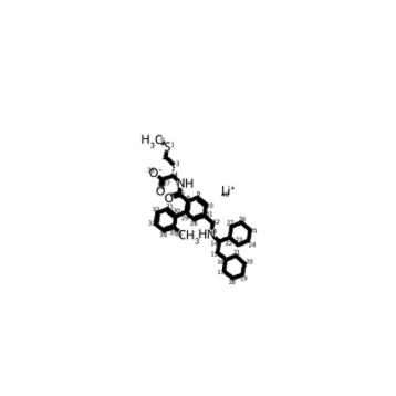 CSCC[C@H](NC(=O)c1ccc(CNC(CC2CCCCC2)C2CCCCC2)cc1-c1ccccc1C)C(=O)[O-].[Li+]